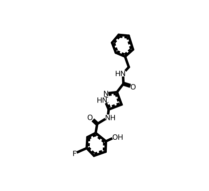 O=C(NCc1ccccc1)c1cc(NC(=O)c2cc(F)ccc2O)[nH]n1